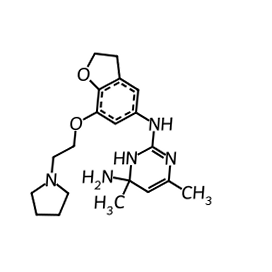 CC1=CC(C)(N)NC(Nc2cc3c(c(OCCN4CCCC4)c2)OCC3)=N1